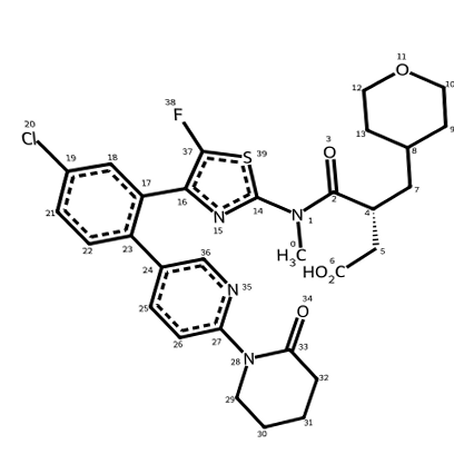 CN(C(=O)[C@@H](CC(=O)O)CC1CCOCC1)c1nc(-c2cc(Cl)ccc2-c2ccc(N3CCCCC3=O)nc2)c(F)s1